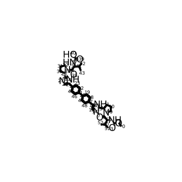 COC(=O)N[C@H](C(=O)N1CCCC1c1ncc(-c2ccc(-c3ccc(-c4cnc([C@@H]5CCCN5C(=O)[C@@H](NC(=O)O)C(C)C)[nH]4)cc3)cc2)[nH]1)C(C)C